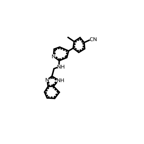 Cc1cc(C#N)ccc1-c1ccnc(NCc2nc3ccccc3[nH]2)c1